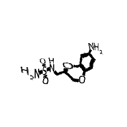 Nc1ccc2c(c1)OC(CNS(N)(=O)=O)CO2